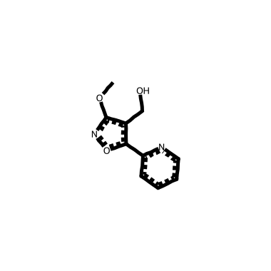 COc1noc(-c2ccccn2)c1CO